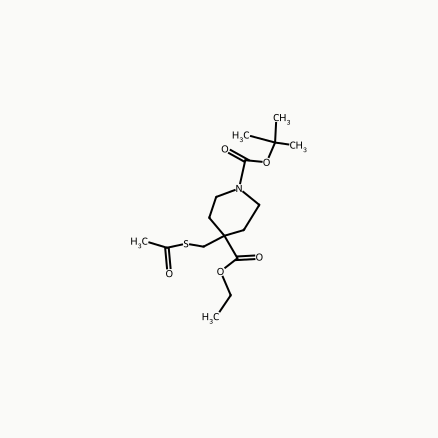 CCOC(=O)C1(CSC(C)=O)CCN(C(=O)OC(C)(C)C)CC1